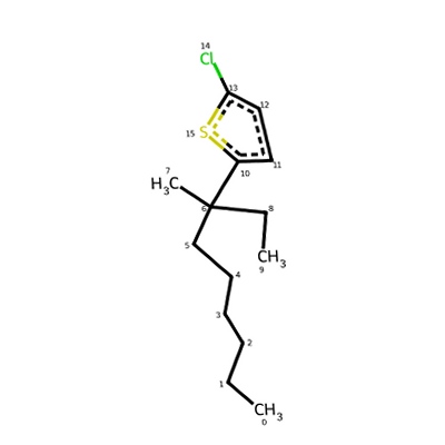 CCCCCCC(C)(CC)c1ccc(Cl)s1